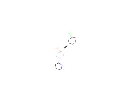 OC1(C#Cc2cccc(Cl)c2)CCN(c2ccccn2)CC1